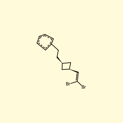 BrC(Br)=C[C@H]1C[C@@H](CCc2ccccc2)C1